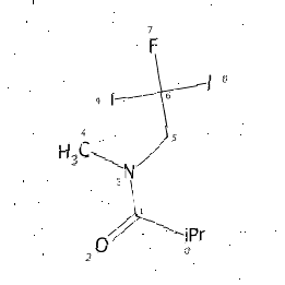 CC(C)C(=O)N(C)CC(F)(I)I